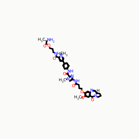 COc1cc2c(cc1OCCCC(=O)Nc1cn(C)c(C(=O)Nc3ccc(-c4cc(C(=O)NCCCOC(=O)[C@H](C)N)n(C)c4)cc3)n1)N=C[C@@H]1CCCN1C2=O